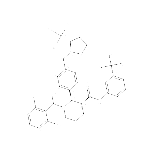 Cc1cccc(F)c1C(O)N1CCC[C@H](C(=O)Nc2cccc(C(C)(C)C)c2)[C@@H]1c1ccc(CN2CCC[C@H]2C(F)(F)F)cc1